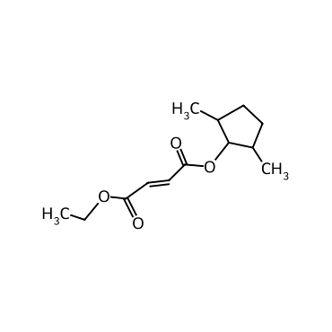 CCOC(=O)C=CC(=O)OC1C(C)CCC1C